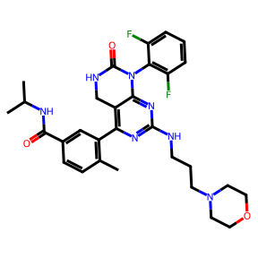 Cc1ccc(C(=O)NC(C)C)cc1-c1nc(NCCCN2CCOCC2)nc2c1CNC(=O)N2c1c(F)cccc1F